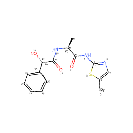 CC(C)c1cnc(NC(=O)[C@H](C)NC(=O)[C@@H](O)c2ccccc2)s1